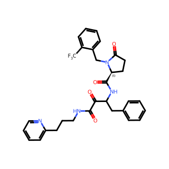 O=C(NCCCc1ccccn1)C(=O)C(Cc1ccccc1)NC(=O)[C@@H]1CCC(=O)N1Cc1ccccc1C(F)(F)F